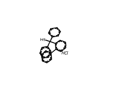 Cl.SC(c1ccccc1)(c1ccccc1)c1ccccc1-c1ccccc1